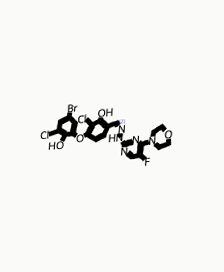 Oc1c(Cl)cc(Br)cc1Oc1ccc(/C=N\Nc2ncc(F)c(N3CCOCC3)n2)c(O)c1Cl